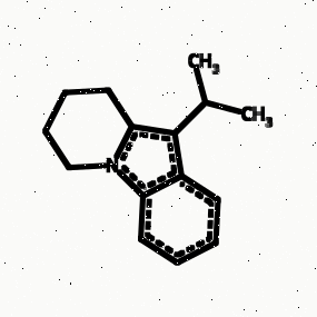 CC(C)c1c2n(c3ccccc13)CCCC2